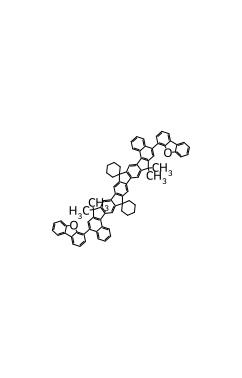 CC1(C)c2cc3c(cc2-c2c1cc(-c1cccc4c1oc1ccccc14)c1ccccc21)C1(CCCCC1)c1cc2c(cc1-3)C1(CCCCC1)c1cc3c(cc1-2)C(C)(C)c1cc(-c2cccc4c2oc2ccccc24)c2ccccc2c1-3